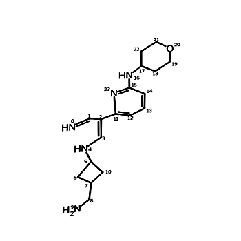 N=C/C(=C\NC1CC(CN)C1)c1cccc(NC2CCOCC2)n1